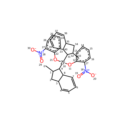 CC1CC2C=CC=CC2[CH]1[Zr]([O]c1ccccc1[N+](=O)[O-])([O]c1ccccc1[N+](=O)[O-])[CH]1C(C)CC2C=CC=CC21